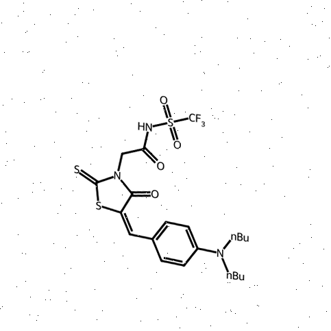 CCCCN(CCCC)c1ccc(C=C2SC(=S)N(CC(=O)NS(=O)(=O)C(F)(F)F)C2=O)cc1